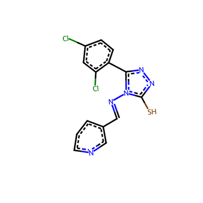 Sc1nnc(-c2ccc(Cl)cc2Cl)n1N=Cc1cccnc1